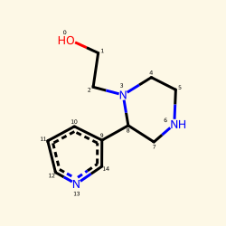 OCCN1CCNCC1c1cccnc1